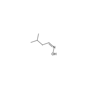 CC(C)[CH]/C=N\O